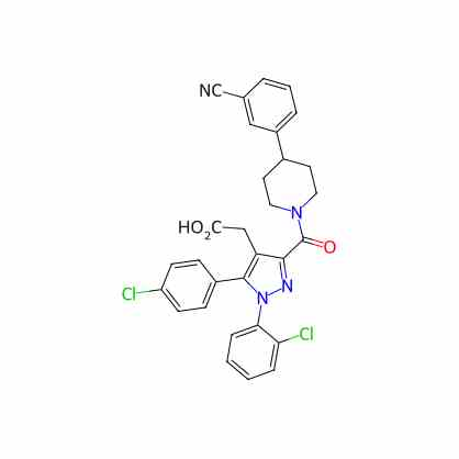 N#Cc1cccc(C2CCN(C(=O)c3nn(-c4ccccc4Cl)c(-c4ccc(Cl)cc4)c3CC(=O)O)CC2)c1